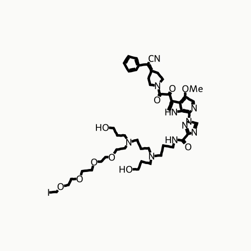 COc1cnc(-n2cnc(C(=O)NCCCN(CCCO)CCCN(CCCO)CCOCCOCCOCCOCI)n2)c2[nH]cc(C(=O)C(=O)N3CCC(=C(C#N)c4ccccc4)CC3)c12